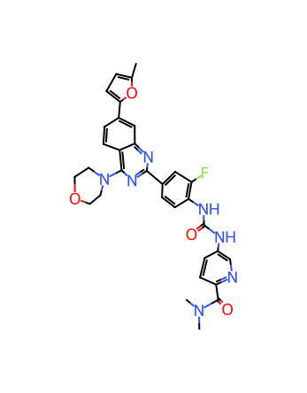 Cc1ccc(-c2ccc3c(N4CCOCC4)nc(-c4ccc(NC(=O)Nc5ccc(C(=O)N(C)C)nc5)c(F)c4)nc3c2)o1